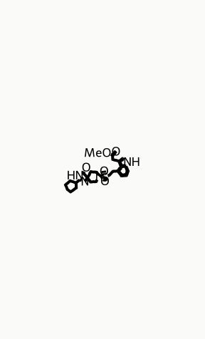 COC(=O)Cc1c[nH]c2cccc(CCS(=O)(=O)N3CCC4(CC3)N=C(C3CCCCC3)NC4=O)c12